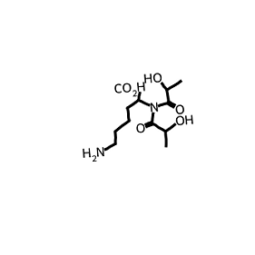 CC(O)C(=O)N(C(=O)C(C)O)C(CCCCN)C(=O)O